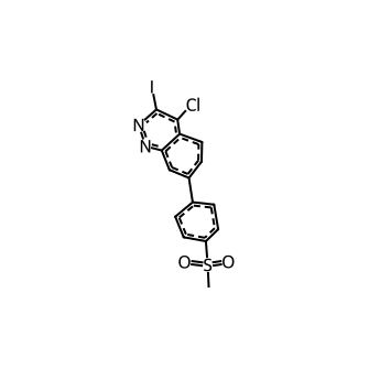 CS(=O)(=O)c1ccc(-c2ccc3c(Cl)c(I)nnc3c2)cc1